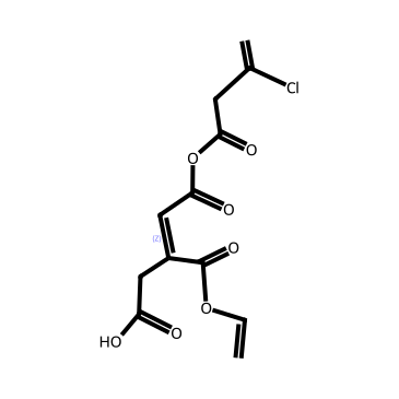 C=COC(=O)/C(=C\C(=O)OC(=O)CC(=C)Cl)CC(=O)O